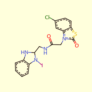 O=C(Cn1c(=O)sc2ccc(Cl)cc21)NCC1Nc2ccccc2N1I